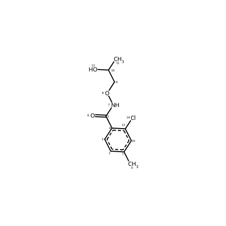 Cc1ccc(C(=O)NOCC(C)O)c(Cl)c1